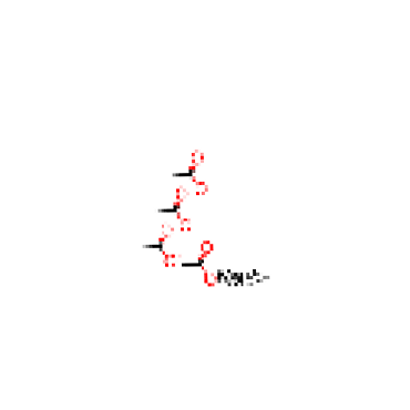 CC(=O)[O-].CC(=O)[O-].CC(=O)[O-].CC(=O)[O-].[Mo+2].[Mo+2]